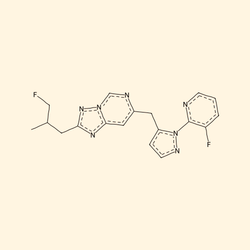 CC(CF)Cc1nc2cc(Cc3ccnn3-c3ncccc3F)ncn2n1